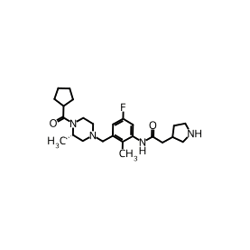 Cc1c(CN2CCN(C(=O)C3CCCC3)[C@@H](C)C2)cc(F)cc1NC(=O)CC1CCNC1